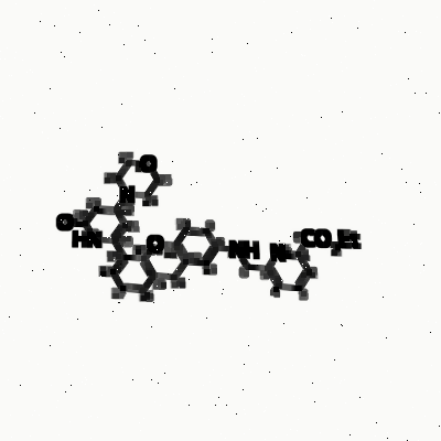 CCOC(=O)c1cccc(CNc2ccc3c(c2)Cc2cccc(-c4cc(N5CCOCC5)cc(=O)[nH]4)c2O3)n1